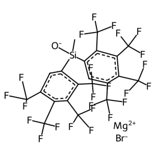 C[Si]([O-])(c1cc(C(F)(F)F)c(C(F)(F)F)c(C(F)(F)F)c1C(F)(F)F)c1cc(C(F)(F)F)c(C(F)(F)F)c(C(F)(F)F)c1C(F)(F)F.[Br-].[Mg+2]